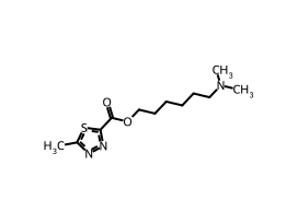 Cc1nnc(C(=O)OCCCCCCN(C)C)s1